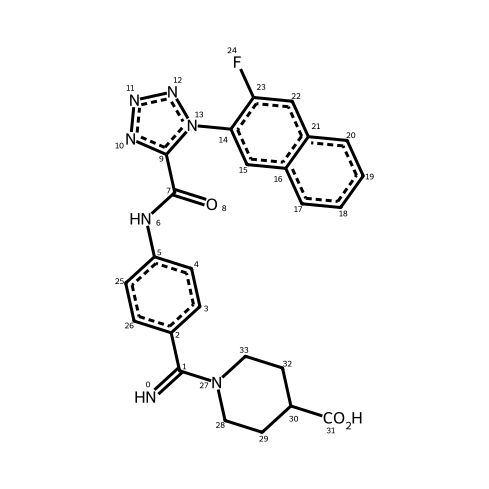 N=C(c1ccc(NC(=O)c2nnnn2-c2cc3ccccc3cc2F)cc1)N1CCC(C(=O)O)CC1